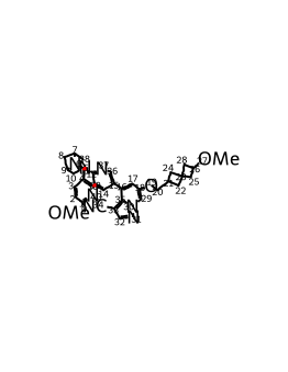 COc1ccc(CN2C3CC2CN(c2ccc(-c4cc(OCC5CC6(C5)CC(OC)C6)cn5ncc(C#N)c45)cn2)C3)cn1